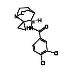 O=C(N[C@@H]1C2CCN(CC2)C12CC2)c1ccc(Cl)c(Cl)c1